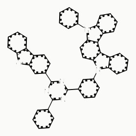 c1ccc(-c2nc(-c3cccc(-n4c5ccccc5c5c6c7ccccc7n(-c7ccccc7)c6ccc54)c3)nc(-c3ccc4c(c3)oc3ccccc34)n2)cc1